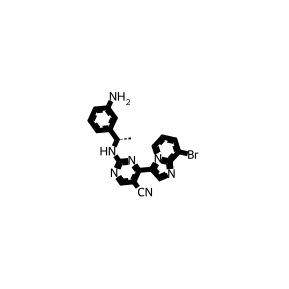 C[C@H](Nc1ncc(C#N)c(-c2cnc3c(Br)cccn23)n1)c1cccc(N)c1